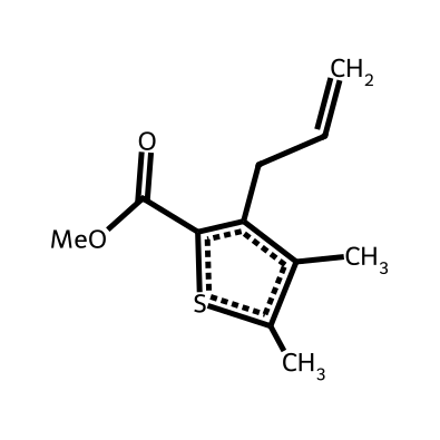 C=CCc1c(C(=O)OC)sc(C)c1C